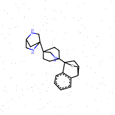 c1ccc2c(c1)C1CCC2(C23CCC(C45CNC(CN4)C5)(CC2)CN3)CC1